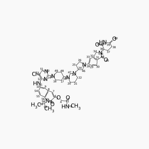 CNC(=O)COc1cc2cc(Nc3nc(N4CCC(N5CCCN(C6CCN(c7ccc8c(c7)CN(C7CCC(=O)NC7=O)C8=O)C6)C5)CC4)ncc3Cl)ccc2n(C(C)C)c1=O